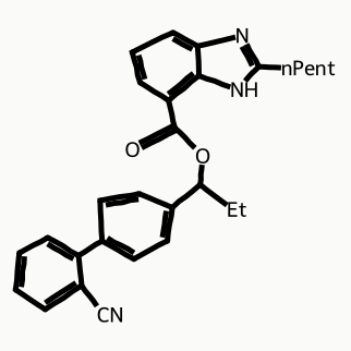 CCCCCc1nc2cccc(C(=O)OC(CC)c3ccc(-c4ccccc4C#N)cc3)c2[nH]1